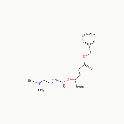 CCCCCCC(CCC(=O)OCc1ccccc1)OC(=O)NCCN(C)CC